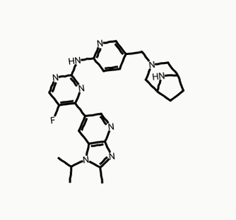 Cc1nc2ncc(-c3nc(Nc4ccc(CN5CC6CCC(C5)N6)cn4)ncc3F)cc2n1C(C)C